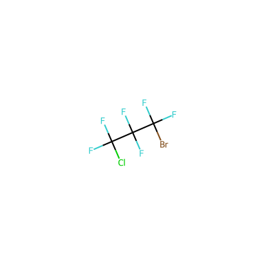 FC(F)(Cl)C(F)(F)C(F)(F)Br